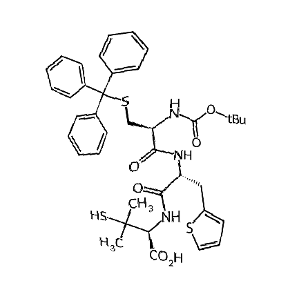 CC(C)(C)OC(=O)N[C@H](CSC(c1ccccc1)(c1ccccc1)c1ccccc1)C(=O)N[C@H](Cc1cccs1)C(=O)N[C@@H](C(=O)O)C(C)(C)S